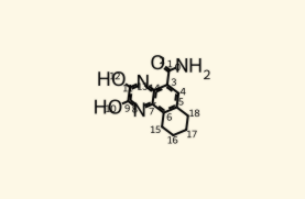 NC(=O)c1cc2c(c3nc(O)c(O)nc13)CCCC2